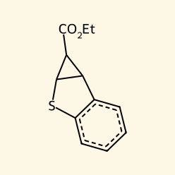 CCOC(=O)C1C2Sc3ccccc3C21